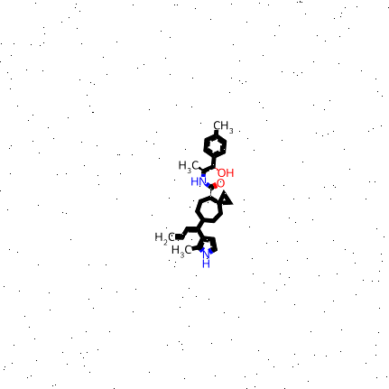 C=C/C=C(\c1cc[nH]c1C)C1CC[C@H](C(=O)N[C@@H](C)[C@@H](O)c2ccc(C)cc2)C2(CC1)CC2